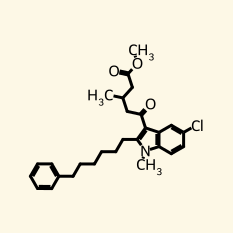 COC(=O)CC(C)CC(=O)c1c(CCCCCCc2ccccc2)n(C)c2ccc(Cl)cc12